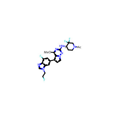 COc1nc(N[C@@H]2CCN(C(C)=O)CC2(F)F)nn2ccc(-c3cc(F)c4ncn(CCF)c4c3)c12